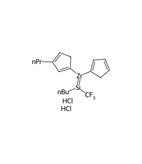 CCCC/[Si](=[Zr](/[C]1=CC=CC1)[C]1=CC(CCC)=CC1)C(F)(F)F.Cl.Cl